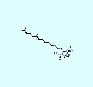 CC(C)=CCC/C(C)=C/CCCCCCCC(P(=O)(O)O)P(=O)(O)O